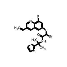 C=Cc1cnc2c(F)cc(OC(CC)C(=O)NC(C)(C)c3nccs3)cc2c1